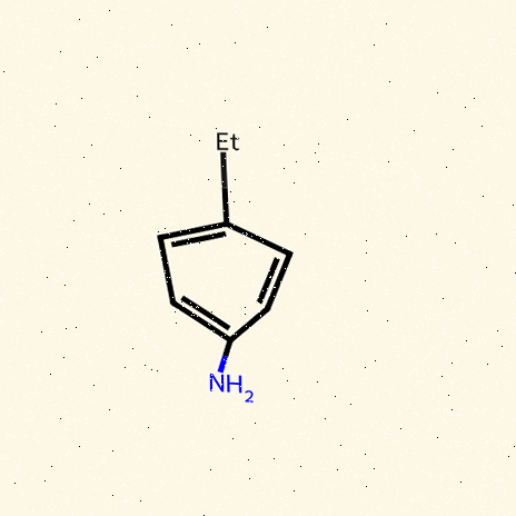 [CH2]Cc1ccc(N)cc1